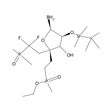 B[C@@H]1O[C@@](CCP(C)(=O)OCC)(CC(F)(F)P(C)(C)=O)C(O)[C@@H]1O[Si](C)(C)C(C)(C)C